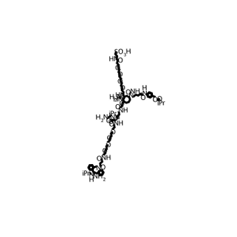 CC(C)N/C1=C(\N)c2ccccc2N(C(=O)CCC(=O)NCCOCCOCCOCCOCCC(=O)N[C@H](CCCCNC(=O)COC2CCCC(N(CCCCC(=O)Nc3ccc(COC(=O)C(C)C)cc3)C(N)=O)C/C(NCCOCCOCCOCCOCCC(=O)NCCS(=O)(=O)O)=C\2NN)C(=O)N[C@H](C(N)=O)C(C)C)Cc2ccccc21